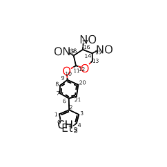 C/C=C(\C=C/CC)c1ccc(OC2OCC(N=O)C(N=O)C2N=O)cc1